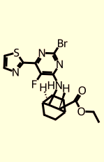 CCOC(=O)[C@@H]1C2CCC(CC2)[C@H]1Nc1nc(Br)nc(-c2nccs2)c1F